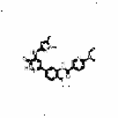 CCN(C)c1ccc(C(=O)Nc2cc(-c3cc(Nc4cc(C)n(C)n4)c(=O)[nH]n3)ccc2F)cn1